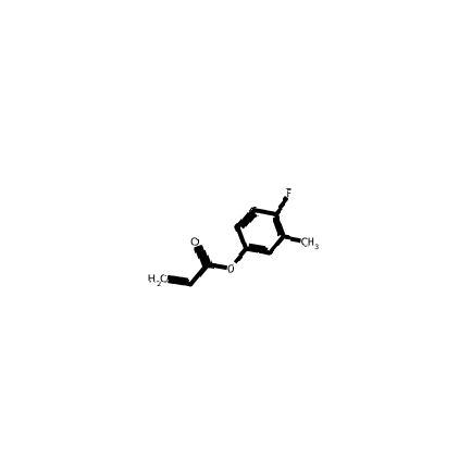 C=CC(=O)Oc1ccc(F)c(C)c1